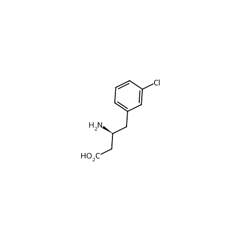 N[C@H](CC(=O)O)Cc1cccc(Cl)c1